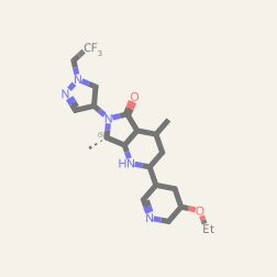 CCOC1CN=CC(C2CC(C)C3C(=O)N(C4C=NN(CC(F)(F)F)C4)[C@@H](C)C3N2)C1